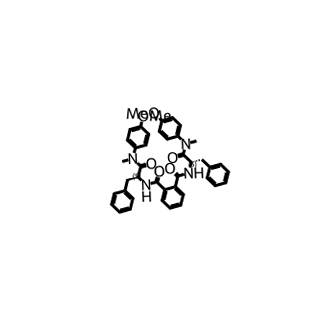 COc1ccc(N(C)C(=O)[C@H](Cc2ccccc2)NC(=O)c2ccccc2C(=O)N[C@@H](Cc2ccccc2)C(=O)N(C)c2ccc(OC)cc2)cc1